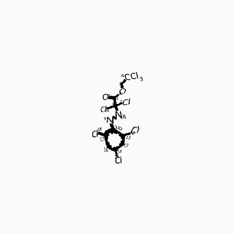 O=C(OCC(Cl)(Cl)Cl)C(Cl)(Cl)N=Nc1c(Cl)cc(Cl)cc1Cl